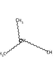 CCCCCCCCCCCCCCCCCC[n+]1cc(CCCCCCCCCCCC)cc(CCCCCCCCCCCC)c1